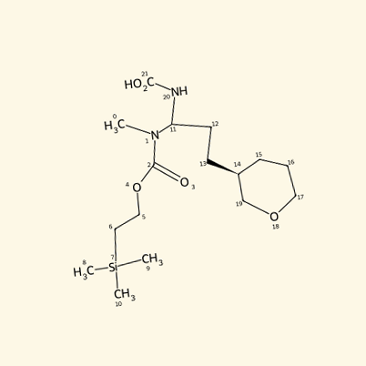 CN(C(=O)OCC[Si](C)(C)C)C(CC[C@H]1CCCOC1)NC(=O)O